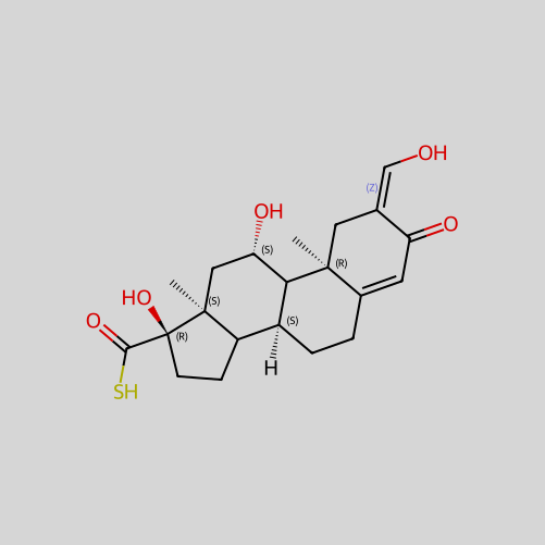 C[C@]12C/C(=C/O)C(=O)C=C1CC[C@@H]1C2[C@@H](O)C[C@@]2(C)C1CC[C@]2(O)C(=O)S